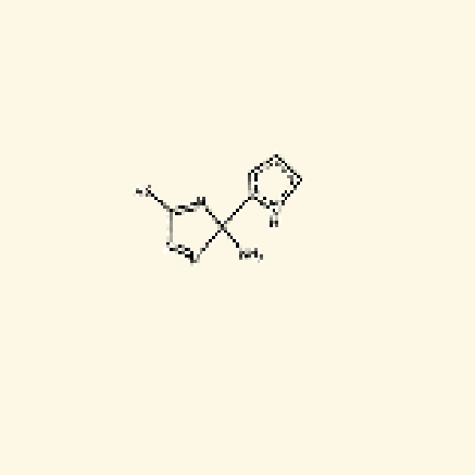 NC1(c2ccc[nH]2)N=NC(S)=N1